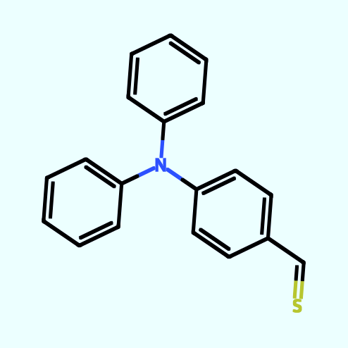 S=Cc1ccc(N(c2ccccc2)c2ccccc2)cc1